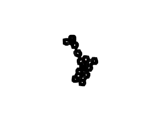 c1ccc2c(c1)-c1ccccc1C21c2ccccc2-c2ccc(N(c3ccc(-c4ccc(-c5ccc6oc7ccccc7c6c5)cc4)cc3)c3cccc4c5ccccc5c5ccccc5c34)cc21